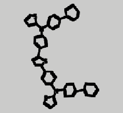 c1ccc(-c2ccc(N(c3ccc(-c4ccc(-c5ccc(N(c6ccc(-c7ccccc7)cc6)c6cccs6)cc5)s4)cc3)c3cccs3)cc2)cc1